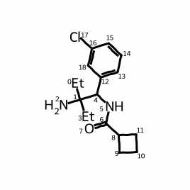 CCC(N)(CC)C(NC(=O)C1CCC1)c1cccc(Cl)c1